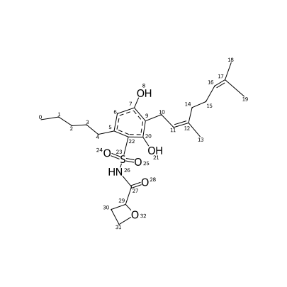 CCCCCc1cc(O)c(CC=C(C)CCC=C(C)C)c(O)c1S(=O)(=O)NC(=O)C1CCO1